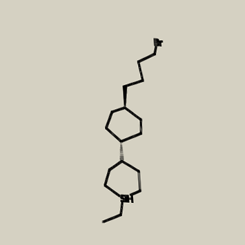 CC[SiH]1CCC([C@H]2CC[C@H](CCCCBr)CC2)CC1